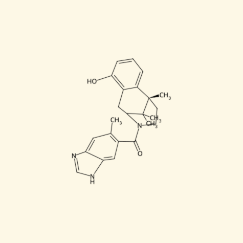 Cc1cc2nc[nH]c2cc1C(=O)N1CC[C@@]2(C)c3cccc(O)c3CC1C2(C)C